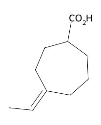 C/C=C1/CCCC(C(=O)O)CC1